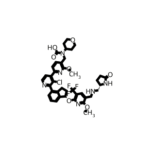 COc1nc(-c2ccnc(-c3cccc4c3CC[C@@H]4Oc3nc(OC)c(CNC[C@@H]4CCC(=O)N4)cc3C(F)(F)F)c2Cl)ccc1CN(C(=O)O)C1CCOCC1